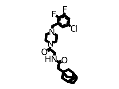 O=C(CC12CC3CC(C1)C(C3)C2)NCC(=O)N1CCN(Cc2cc(Cl)cc(F)c2F)CC1